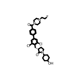 O=C(c1ccc(-c2cc(Cl)c(C[C@@H]3CCN(C4CCC(O)CC4)C3=O)c(Cl)c2)cc1)N1CCN(CCF)CC1